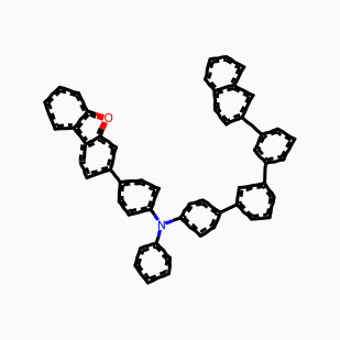 c1ccc(N(c2ccc(-c3cccc(-c4cccc(-c5ccc6ccccc6c5)c4)c3)cc2)c2ccc(-c3ccc4c(c3)oc3ccccc34)cc2)cc1